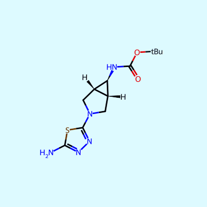 CC(C)(C)OC(=O)N[C@H]1[C@@H]2CN(c3nnc(N)s3)C[C@@H]21